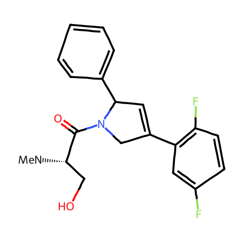 CN[C@@H](CO)C(=O)N1CC(c2cc(F)ccc2F)=CC1c1ccccc1